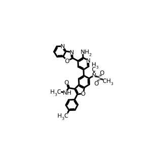 CNC(=O)c1c(-c2ccc(C)cc2)oc2cc(N(C)S(C)(=O)=O)c(-c3cnc(N)c(-c4nc5ncccc5o4)c3)cc12